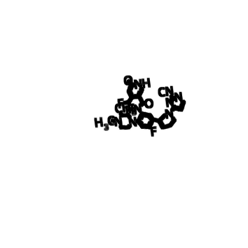 CC1CN(c2cc(F)c(C3=CCCN(c4ccnc(C#N)n4)C3)cc2NC(=O)c2c[nH]c(=O)cc2C(F)F)CCN1C